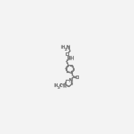 C[C@@H]1CCN(C(=O)c2ccc(CBOCN)cc2)C1